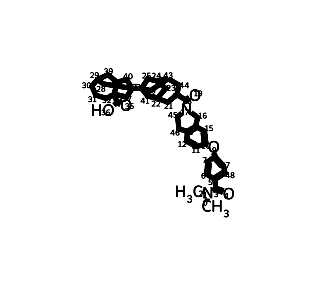 CN(C)C(=O)c1ccc(Oc2ccc3c(c2)CN(C(=O)C2CC4CC5CC(C67CC8CCCC(C(=O)O)(C6)C(C8)C7)(C4)CC5C2)CC3)cc1